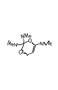 CNC1=CCOC(NC)(NC)O1